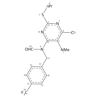 CCCSc1nc(Cl)c(NC)c(N(C=O)Cc2ccc(C(F)(F)F)cc2)n1